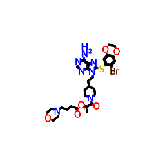 C[C@@H](OC(=O)CCCN1CCOCC1)C(=O)N1CCC(CCn2c(Sc3cc4c(cc3Br)OCCO4)nc3c(N)ncnc32)CC1